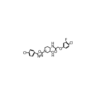 O=C(COc1ccc(Cl)c(F)c1)N[C@H]1CCN(c2nnc(-c3ccc(Cl)cc3)o2)C[C@@H]1O